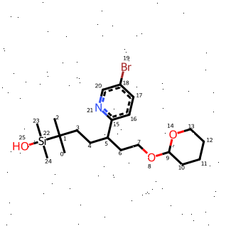 CC(C)(CCC(CCOC1CCCCO1)c1ccc(Br)cn1)[Si](C)(C)O